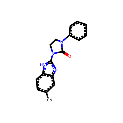 N#Cc1ccc2[nH]c(N3CCN(c4ccccc4)C3=O)nc2c1